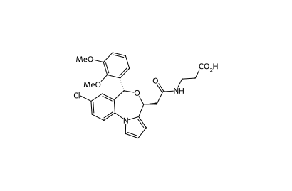 COc1cccc([C@@H]2O[C@@H](CC(=O)NCCC(=O)O)c3cccn3-c3ccc(Cl)cc32)c1OC